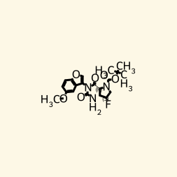 COc1ccc2occ(N(C(N)=O)C(=O)[C@H]3C[C@H](F)CN3C(=O)OC(C)(C)C)c2c1